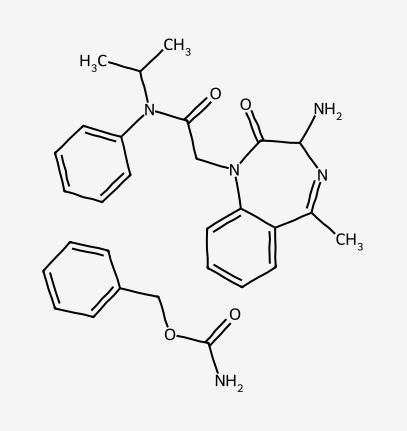 CC1=NC(N)C(=O)N(CC(=O)N(c2ccccc2)C(C)C)c2ccccc21.NC(=O)OCc1ccccc1